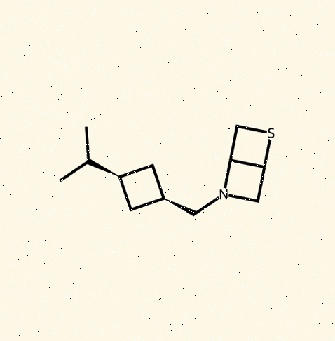 CC(C)[C@H]1C[C@@H](CN2CC3SCC32)C1